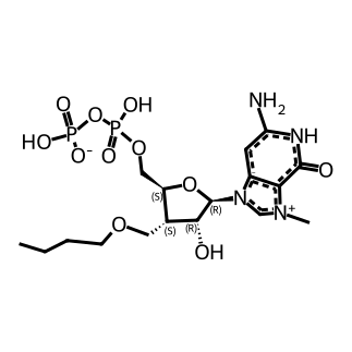 CCCCOC[C@H]1[C@@H](O)[C@H](n2c[n+](C)c3c(=O)[nH]c(N)cc32)O[C@@H]1COP(=O)(O)OP(=O)([O-])O